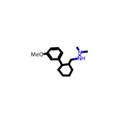 COc1cccc(C2CCCCC2CNN(C)C)c1